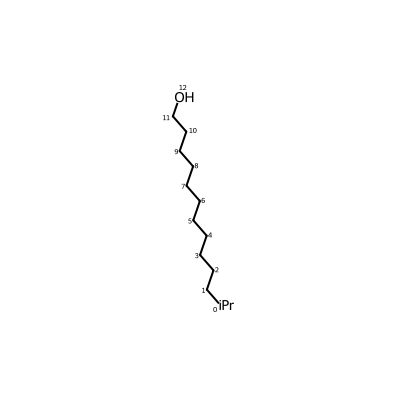 CC(C)CCCCCCCCCCCO